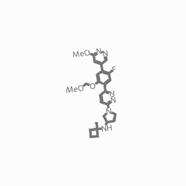 COCOc1cc(-c2cnnc(OC)c2)c(F)cc1-c1ccc(N2CCC(NC3(C)CCC3)C2)nn1